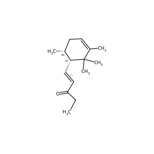 CCC(=O)/C=C/[C@@H]1[C@H](C)CC=C(C)C1(C)C